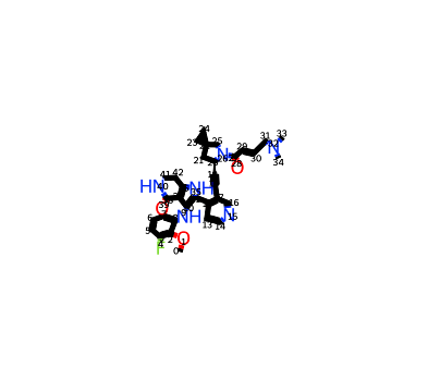 COc1c(F)cccc1Nc1c(-c2ccncc2C#C[C@H]2CC3(CC3)CN2C(=O)/C=C/CN(C)C)[nH]c2c1C(=O)NCC2